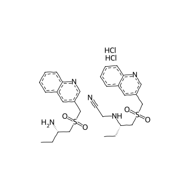 CC[C@@H](CS(=O)(=O)Cc1cnc2ccccc2c1)NCC#N.CC[C@H](N)CS(=O)(=O)Cc1cnc2ccccc2c1.Cl.Cl